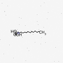 CCCCCCCCCCCC/C=C/P(=O)(O)O